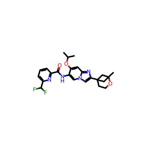 CC(C)Oc1cc2nc(C34CCOC(C)(C3)C4)cn2cc1NC(=O)c1cccc(C(F)F)n1